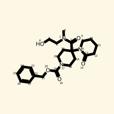 CN(CCO)C(=O)C1(N2CCCCC2=O)CCN(C(=O)OCc2ccccc2)CC1